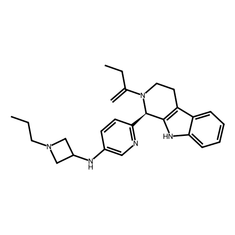 C=C(CC)N1CCc2c([nH]c3ccccc23)[C@H]1c1ccc(NC2CN(CCC)C2)cn1